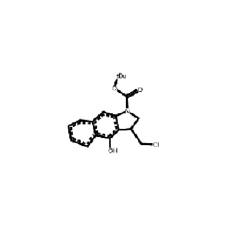 CC(C)(C)OC(=O)N1CC(CCl)c2c1cc1ccccc1c2O